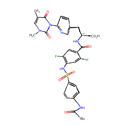 CCOC(=O)[C@H](Cc1ccc(-n2c(=O)c(C)cn(C)c2=O)nc1)NC(=O)c1cc(F)c(NS(=O)(=O)c2ccc(NC(=O)C(C)(C)C)cc2)cc1F